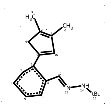 CC1=C(C)CC(c2ccccc2C=NNC(C)(C)C)=C1